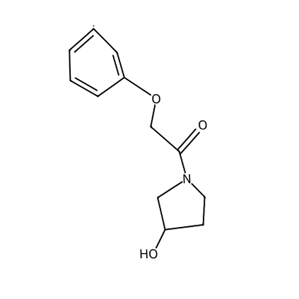 O=C(COc1c[c]ccc1)N1CCC(O)C1